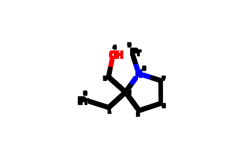 CC(C)CC1(CO)CCCN1C(C)C